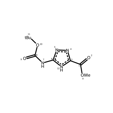 COC(=O)c1nnc(NC(=O)OC(C)(C)C)[nH]1